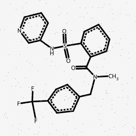 CN(Cc1ccc(C(F)(F)F)cc1)C(=O)c1ccccc1S(=O)(=O)Nc1cccnc1